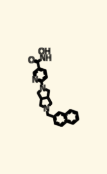 O=C(NO)c1ccc(N2CC3CN(Cc4ccc5ccccc5c4)CC3C2)nc1